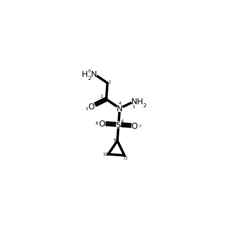 NCC(=O)N(N)S(=O)(=O)C1CC1